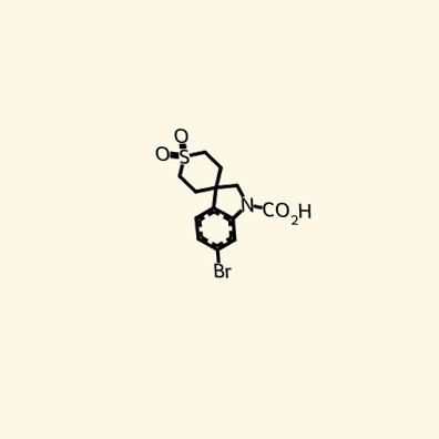 O=C(O)N1CC2(CCS(=O)(=O)CC2)c2ccc(Br)cc21